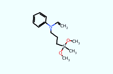 C=CN(CCC[Si](C)(OC)OC)c1ccccc1